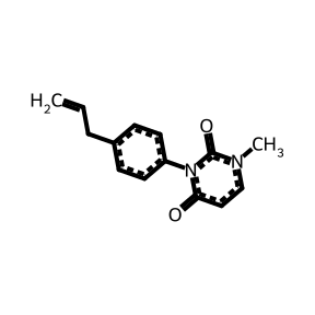 C=CCc1ccc(-n2c(=O)ccn(C)c2=O)cc1